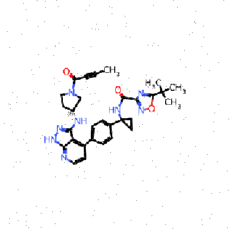 CC#CC(=O)N1CC[C@@H](Nc2n[nH]c3nccc(-c4ccc(C5(NC(=O)c6noc(C(C)(C)C)n6)CC5)cc4)c23)C1